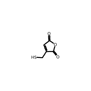 O=C1C=C(CS)C(=O)O1